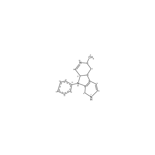 CC1CC2C3=C(CNC=C3)N(c3ccccc3)C2C=N1